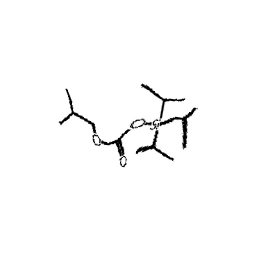 CC(C)COC(=O)O[Si](C(C)C)(C(C)C)C(C)C